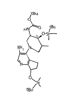 CC1CN(c2c(N)cnc3c2CCC3O[Si](C)(C)C(C)(C)C)CC(NC(=O)OC(C)(C)C)[C@H]1O[Si](C)(C)C(C)(C)C